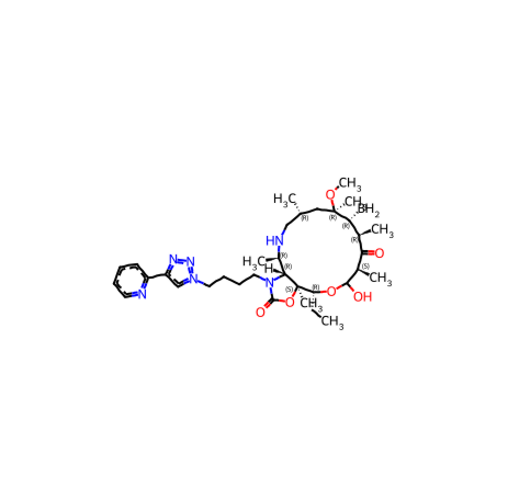 B[C@@H]1[C@@H](C)C(=O)[C@@H](C)C(O)O[C@H](CC)[C@@]2(C)OC(=O)N(CCCCn3cc(-c4ccccn4)nn3)[C@@H]2[C@@H](C)NC[C@H](C)C[C@@]1(C)OC